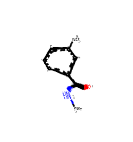 CSNC(=O)c1cccc([N+](=O)[O-])c1